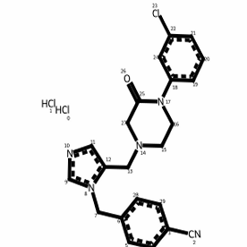 Cl.Cl.N#Cc1ccc(Cn2cncc2CN2CCN(c3cccc(Cl)c3)C(=O)C2)cc1